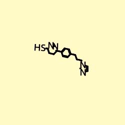 SC1=NN=C(c2ccc(CCCn3ccnc3)cc2)CC1